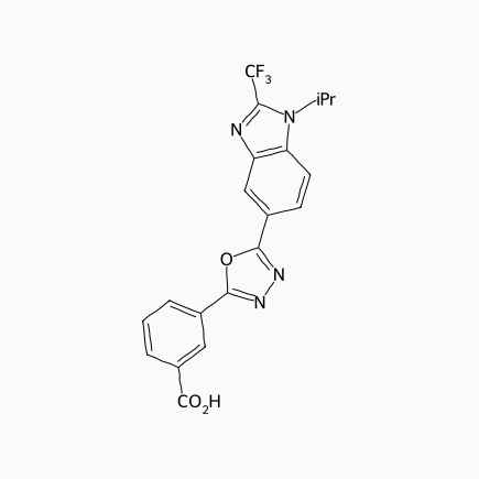 CC(C)n1c(C(F)(F)F)nc2cc(-c3nnc(-c4cccc(C(=O)O)c4)o3)ccc21